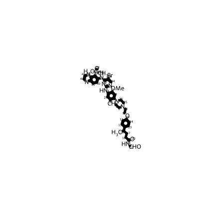 COc1cc(N2CCN(CCOc3ccc(C(C)CCC(=O)NC=O)cc3)CC2)c(C)cc1Nc1ncc(Br)c(Nc2ccc3nccnc3c2P(C)(C)=O)n1